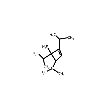 CC(C)C1=CC(N(C)C)C1(P)C(C)C